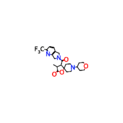 CC1C(=O)OC2(CCN(C3CCOCC3)CC2)C1C(=O)N1Cc2ccc(C(F)(F)F)nc2C1